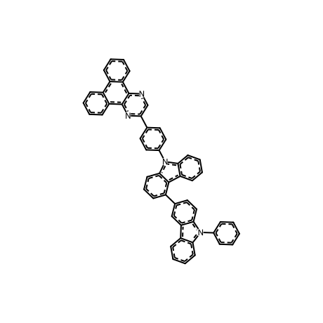 c1ccc(-n2c3ccccc3c3cc(-c4cccc5c4c4ccccc4n5-c4ccc(-c5cnc6c7ccccc7c7ccccc7c6n5)cc4)ccc32)cc1